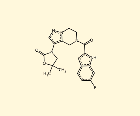 CC1(C)CN(c2cnn3c2CN(C(=O)c2cc4ccc(F)cc4[nH]2)CC3)C(=O)O1